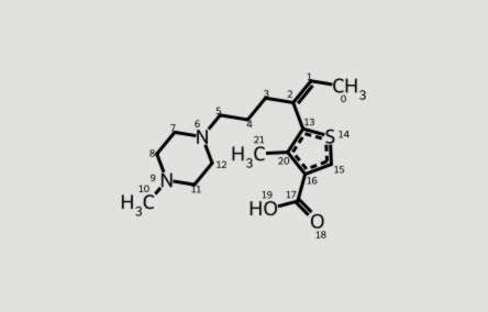 CC=C(CCCN1CCN(C)CC1)c1scc(C(=O)O)c1C